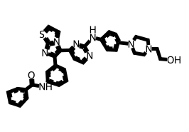 O=C(Nc1cccc(-c2nc3sccn3c2-c2ccnc(Nc3ccc(N4CCN(CCO)CC4)cc3)n2)c1)c1ccccc1